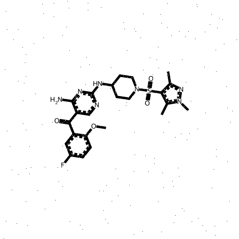 COc1ccc(F)cc1C(=O)c1cnc(NC2CCN(S(=O)(=O)c3c(C)nn(C)c3C)CC2)nc1N